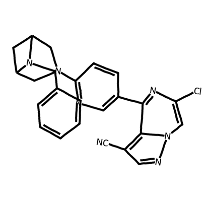 N#Cc1cnn2cc(Cl)nc(-c3ccc(N4CC5CC(C4)N5Cc4ccccc4)nc3)c12